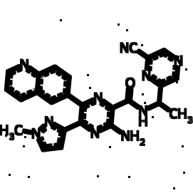 CC(NC(=O)c1nc(-c2ccc3ncccc3c2)c(-c2ccn(C)n2)nc1N)c1cncc(C#N)n1